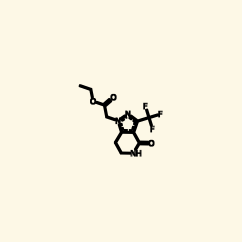 CCOC(=O)Cn1nc(C(F)(F)F)c2c1CCNC2=O